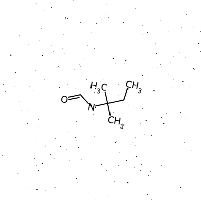 CCC(C)(C)[N]C=O